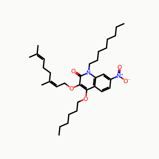 CCCCCCCCn1c(=O)c(OCC=C(C)CCC=C(C)C)c(OCCCCCC)c2ccc([N+](=O)[O-])cc21